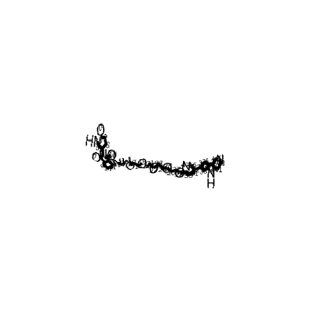 O=C1CCC(N2C(=O)c3cccc(NCCOCCOCCOCCOCCOc4ccc(-c5ccc6c(c5)[nH]c5ccncc56)cn4)c3C2=O)CN1